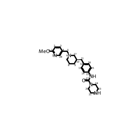 COc1ccc(CN2CCC[C@H](Cc3ccc(NC(=O)N4CCNCC4)cc3)C2)cn1